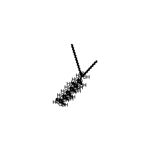 CCCCCCCCCCCCC/C=C/[C@@H](O)[C@H](CO[C@@H]1OC(CO)[C@@H](O[C@@H]2OC(CO)[C@H](O[C@@H]3OC(CO)[C@H](O)[C@H](O[C@H]4OC(CO)[C@H](O)[C@H](O[C@H]5OC(CO)[C@H](O)[C@H](O[C@@H]6OC(CO)[C@H](O)[C@H](O)C6NC(C)=O)C5O)C4O)C3O)[C@H](O)C2O)[C@H](O)C1O)NC(=O)CCCCCCCCCCCCCCCCCCCCCCC